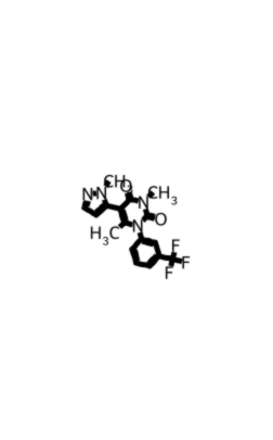 Cc1c(-c2ccnn2C)c(=O)n(C)c(=O)n1-c1cccc(C(F)(F)F)c1